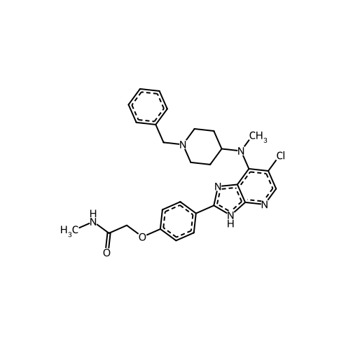 CNC(=O)COc1ccc(-c2nc3c(N(C)C4CCN(Cc5ccccc5)CC4)c(Cl)cnc3[nH]2)cc1